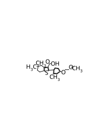 COCCOc1ccc(-c2sc3c(c2C(=O)O)CC(C)(C)CC3)c(C)c1